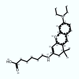 CCN(CC)c1ccc2cc3c([o+]c2c1)C=C(NCCCCCC(=O)O)CC3(C)C